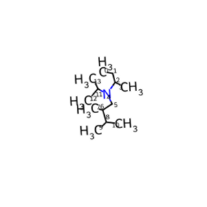 CCC(C)N(CC(C)C(C)C)C(C)C